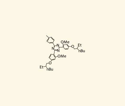 CCCCC(CC)COc1ccc(-c2nc(-c3ccc(C)cc3)nc(-c3ccc(OCC(CC)CCCC)cc3OC)n2)c(OC)c1